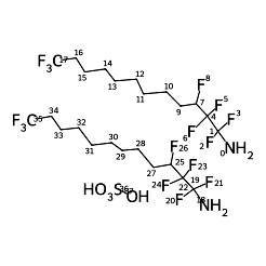 NC(F)(F)C(F)(F)C(F)CCCCCCCCC(F)(F)F.NC(F)(F)C(F)(F)C(F)CCCCCCCCC(F)(F)F.O=S(=O)(O)O